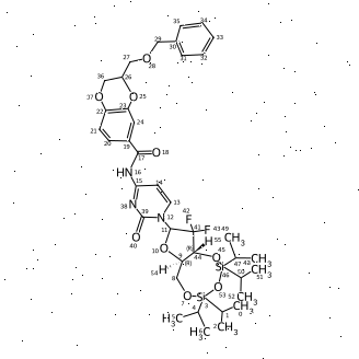 CC(C)[Si]1(C(C)C)OC[C@H]2OC(n3ccc(NC(=O)c4ccc5c(c4)OC(COCc4ccccc4)CO5)nc3=O)C(F)(F)[C@@H]2O[Si](C(C)C)(C(C)C)O1